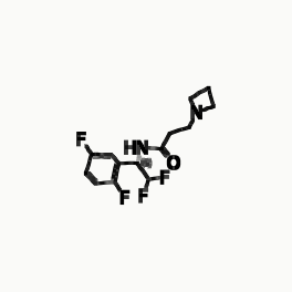 O=C(CCN1CCC1)N[C@@H](c1cc(F)ccc1F)C(F)F